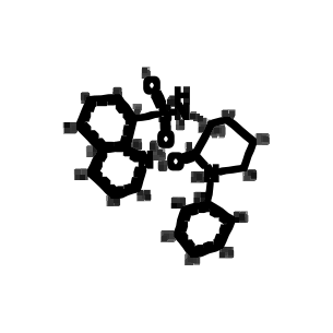 O=C1[C@H](NS(=O)(=O)c2cccc3cccnc23)CCCN1c1ccccc1